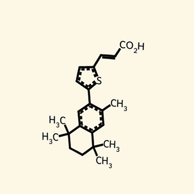 Cc1cc2c(cc1-c1ccc(C=CC(=O)O)s1)C(C)(C)CCC2(C)C